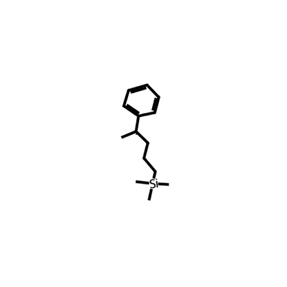 C[C](CCC[Si](C)(C)C)c1ccccc1